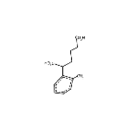 Cc1ccccc1C(CCCC(=O)O)C(=O)O